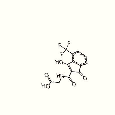 O=C(O)CNC(=O)C1=C(O)c2c(cccc2C(F)(F)F)C1=O